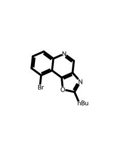 CCCCc1nc2cnc3cccc(Br)c3c2o1